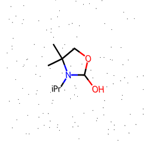 CC(C)N1C(O)OCC1(C)C